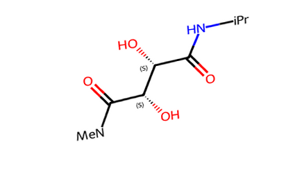 CNC(=O)[C@@H](O)[C@H](O)C(=O)NC(C)C